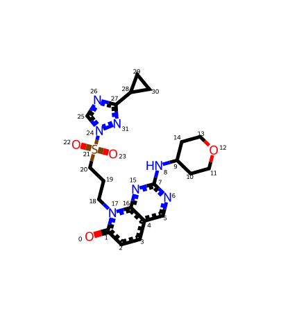 O=c1ccc2cnc(NC3CCOCC3)nc2n1CCCS(=O)(=O)n1cnc(C2CC2)n1